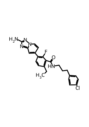 CCc1ccc(-c2ccn3nc(N)nc3c2)c(F)c1C(=O)NCCCc1ccc(Cl)cc1